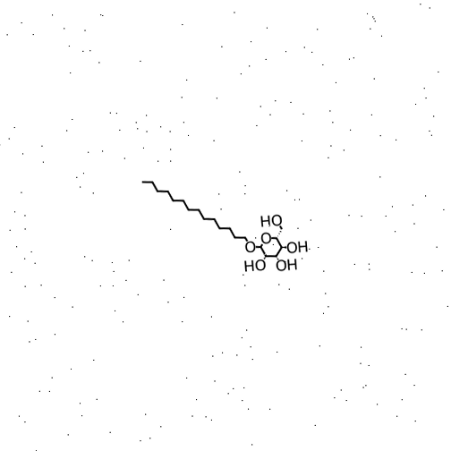 CCCCCCCCCCCCCCOC1O[C@H](CO)[C@@H](O)[C@H](O)[C@@H]1O